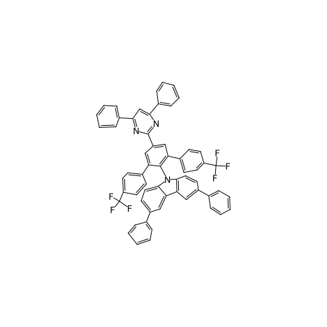 FC(F)(F)c1ccc(-c2cc(-c3nc(-c4ccccc4)cc(-c4ccccc4)n3)cc(-c3ccc(C(F)(F)F)cc3)c2-n2c3ccc(-c4ccccc4)cc3c3cc(-c4ccccc4)ccc32)cc1